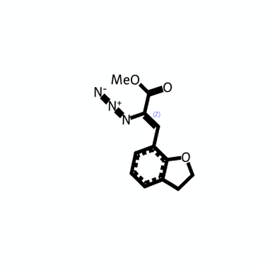 COC(=O)/C(=C/c1cccc2c1OCC2)N=[N+]=[N-]